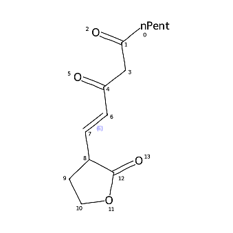 CCCCCC(=O)CC(=O)/C=C/C1CCOC1=O